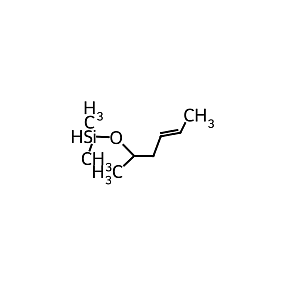 CC=CCC(C)O[SiH](C)C